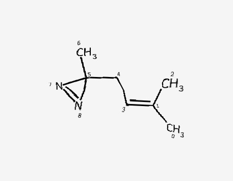 CC(C)=CCC1(C)N=N1